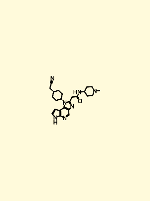 CN1CCC(NC(=O)Cc2nc3cnc4[nH]ccc4c3n2[C@H]2CC[C@H](CC#N)CC2)CC1